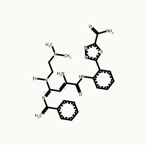 C=C(/N=C(\C=C(/N)C(=O)Nc1ccccc1-c1nnc(C(N)=O)s1)N(CC)CCN(C)C)c1ccccc1